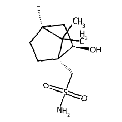 CC1(C)[C@H]2CC[C@]1(CS(N)(=O)=O)[C@H](O)C2